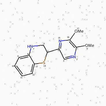 COc1ncc(C2CNc3ccccc3S2)nc1OC